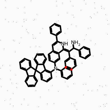 NC(/C(=C1\NC(c2ccccc2)=Cc2ccc(N(c3ccccc3)c3cccc4c3-c3ccccc3C43c4ccccc4-c4ccccc43)cc21)c1ccccc1)c1ccccc1